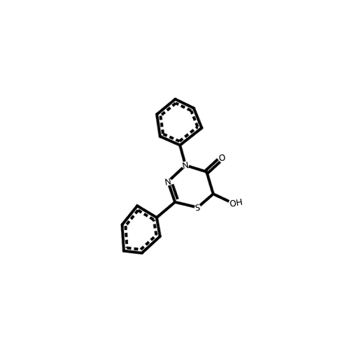 O=C1C(O)SC(c2ccccc2)=NN1c1ccccc1